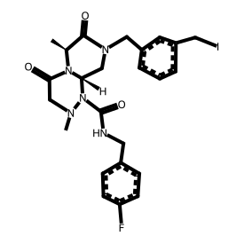 C[C@H]1C(=O)N(Cc2cccc(CI)c2)C[C@H]2N1C(=O)CN(C)N2C(=O)NCc1ccc(F)cc1